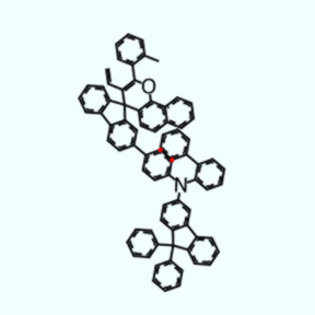 C=CC1=C(c2ccccc2C)Oc2c(ccc3ccccc23)C12c1ccccc1-c1ccc(-c3ccc(N(c4ccc5c(c4)-c4ccccc4C5(c4ccccc4)c4ccccc4)c4ccccc4-c4ccccc4)cc3)cc12